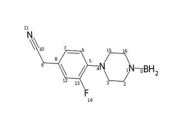 BN1CCN(c2ccc(CC#N)cc2F)CC1